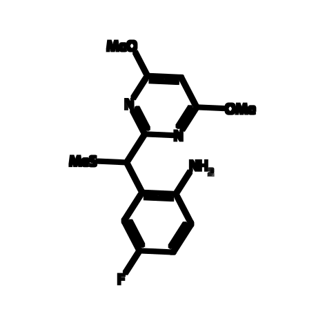 COc1cc(OC)nc(C(SC)c2cc(F)ccc2N)n1